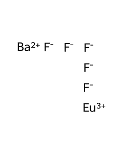 [Ba+2].[Eu+3].[F-].[F-].[F-].[F-].[F-]